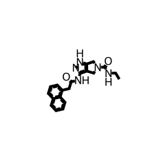 CCNC(=O)N1Cc2[nH]nc(NC(=O)Cc3cccc4ccccc34)c2C1